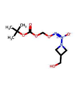 CC(C)(C)OC(=O)OCO/N=[N+](/[O-])N1CC(CO)C1